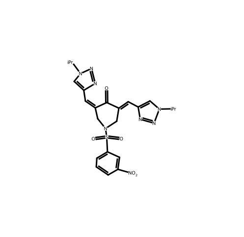 CC(C)n1cc(C=C2CN(S(=O)(=O)c3cccc([N+](=O)[O-])c3)CC(=Cc3cn(C(C)C)nn3)C2=O)nn1